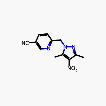 Cc1nn(Cc2ccc(C#N)cn2)c(C)c1[N+](=O)[O-]